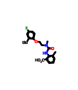 Cc1cccc(C(=O)O)c1NC(=O)N(C)CCOc1ccc(F)cc1C(C)(C)C